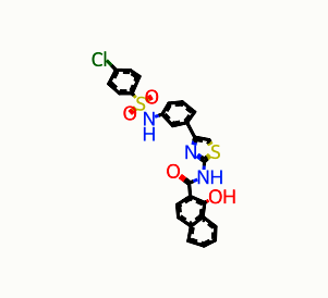 O=C(Nc1nc(-c2cccc(NS(=O)(=O)c3ccc(Cl)cc3)c2)cs1)c1ccc2ccccc2c1O